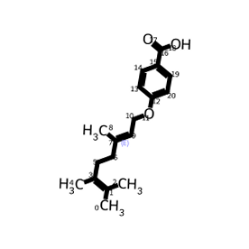 CC(C)=C(C)CC/C(C)=C/COc1ccc(C(=O)O)cc1